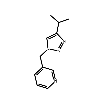 CC(C)c1cn(Cc2cccnc2)nn1